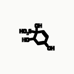 O=S(=O)(O)C1(O)C=CC(O)=CC1O